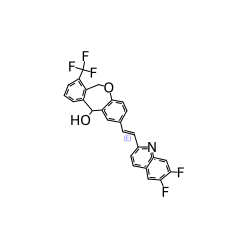 OC1c2cc(/C=C/c3ccc4cc(F)c(F)cc4n3)ccc2OCc2c1cccc2C(F)(F)F